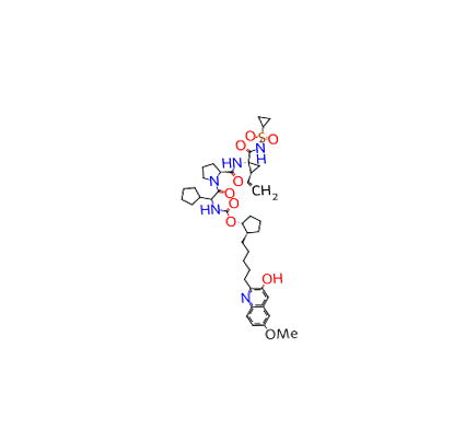 C=C[C@@H]1C[C@]1(NC(=O)[C@@H]1CCCN1C(=O)C(NC(=O)O[C@@H]1CCC[C@H]1CCCCCc1nc2ccc(OC)cc2cc1O)C1CCCC1)C(=O)NS(=O)(=O)C1CC1